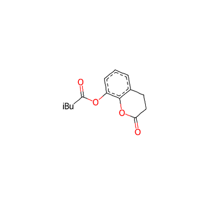 CCC(C)C(=O)Oc1cccc2c1OC(=O)CC2